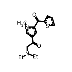 CCN(CC)CC(=O)c1cc(C(=O)c2cccs2)n(C)c1